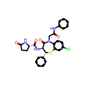 O=C(CN1C(=O)[C@H](NC(=O)[C@@H]2CCC(=O)N2)[C@@H](c2ccccc2)Sc2cc(Cl)ccc21)Nc1ccccc1